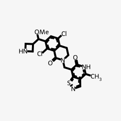 COC(c1cc(Cl)c2c(c1Cl)C(=O)N(Cc1c(=O)[nH]c(C)c3cnsc13)CC2)C1CNC1